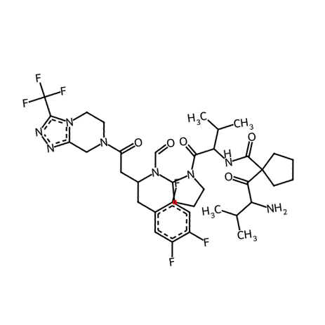 CC(C)C(N)C(=O)C1(C(=O)NC(C(=O)N2CCCC2N(C=O)C(CC(=O)N2CCn3c(nnc3C(F)(F)F)C2)Cc2cc(F)c(F)cc2F)C(C)C)CCCC1